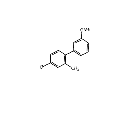 [CH2]c1cc(Cl)ccc1-c1cccc(OC)c1